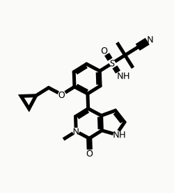 Cn1cc(-c2cc(S(=N)(=O)C(C)(C)C#N)ccc2OCC2CC2)c2cc[nH]c2c1=O